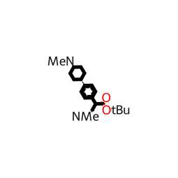 CNCC(C(=O)OC(C)(C)C)c1ccc([C@H]2CC[C@H](NC)CC2)cc1